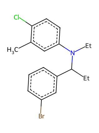 CCC(c1cccc(Br)c1)N(CC)c1ccc(Cl)c(C)c1